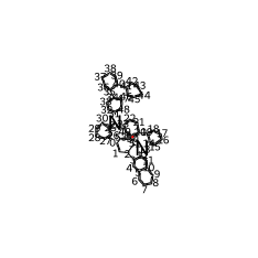 C1=CC2c3cc4ccccc4cc3N(c3ccccc3-c3ccc(N(c4ccccc4)c4ccc(-c5ccccc5-c5ccccc5)cc4)cc3)C2C=C1